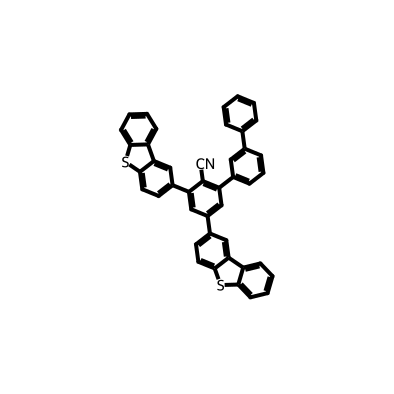 N#Cc1c(-c2cccc(-c3ccccc3)c2)cc(-c2ccc3sc4ccccc4c3c2)cc1-c1ccc2sc3ccccc3c2c1